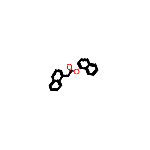 O=C(Cc1cccc2ccccc12)Oc1cccc2ccccc12